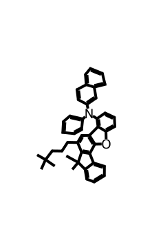 CC(C)(C)CCCc1cc2c(oc3cccc(N(c4ccccc4)c4ccc5ccccc5c4)c32)c2c1C(C)(C)c1ccccc1-2